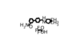 CC1(C)CCC(NCc2ccc(-c3cccc(C(N)=O)c3)cc2)CC1.O=C(O)C(F)(F)F